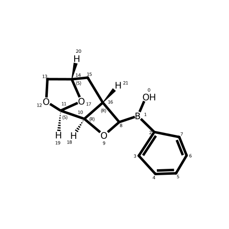 OB(c1ccccc1)C1O[C@H]2[C@H]3OC[C@H](C[C@H]12)O3